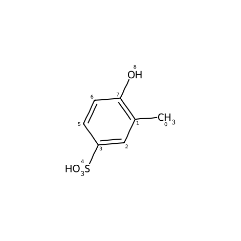 Cc1cc(S(=O)(=O)O)ccc1O